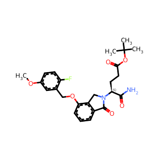 COc1ccc(F)c(COc2cccc3c2CN([C@@H](CCC(=O)OC(C)(C)C)C(N)=O)C3=O)c1